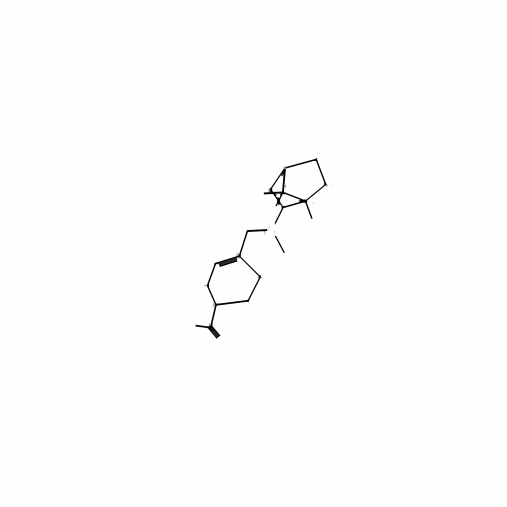 C=C(C)C1CC=C(CN(I)C2CC3CCC2(C)C3(C)C)CC1